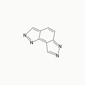 C1=NN=c2ccc3c(c21)N=NC=3